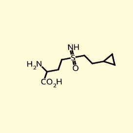 N=S(=O)(CCC1CC1)CCC(N)C(=O)O